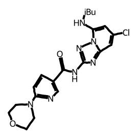 CCC(C)Nc1cc(Cl)cc2nc(NC(=O)c3ccc(N4CCOCC4)nc3)nn12